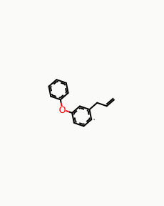 C=CCc1[c]ccc(Oc2ccccc2)c1